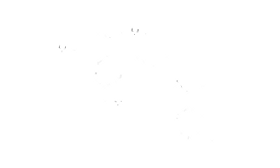 COC(=O)c1c(C=C2CCN(C(=O)c3cccc(Cl)c3)CC2)cc(OC)cc1OC